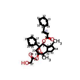 CC1=C2C(OC(=O)/C=C/c3ccccc3)C3(c4ccccc4)CC(OC(=O)CO)C(C)(O3)C2CC1